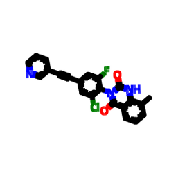 Cc1cccc2c(=O)n(-c3c(F)cc(C#Cc4cccnc4)cc3Cl)c(=O)[nH]c12